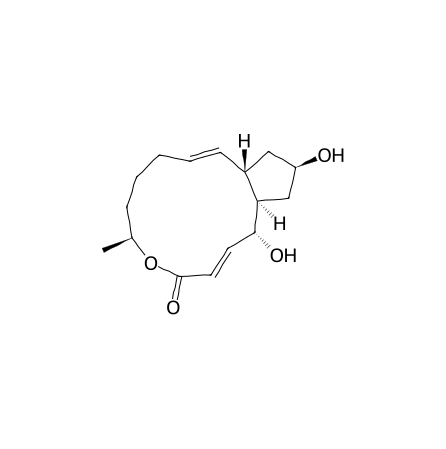 C[C@H]1CCC/C=C/[C@@H]2C[C@@H](O)C[C@H]2[C@H](O)/C=C/C(=O)O1